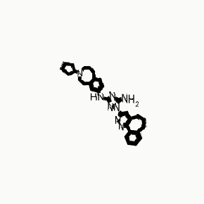 Nc1nc(Nc2ccc3c(c2)CCN(C2CCCC2)CCC3)nn1-c1cc2c(nn1)-c1ccccc1CCC2